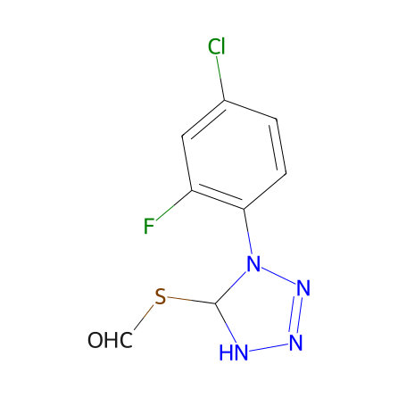 O=CSC1NN=NN1c1ccc(Cl)cc1F